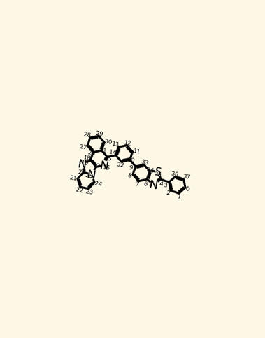 c1ccc(-c2nc3ccc(-c4cccc(-c5nc6c(nc7ccccn76)c6ccccc56)c4)cc3s2)cc1